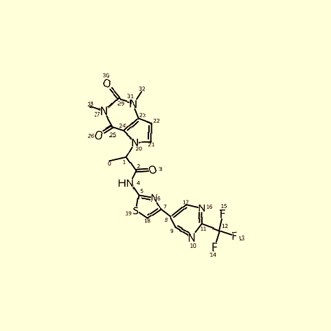 CC(C(=O)Nc1nc(-c2cnc(C(F)(F)F)nc2)cs1)n1ccc2c1c(=O)n(C)c(=O)n2C